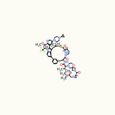 CO[C@@H](C)c1ncc(N2CCN(C3CC3)CC2)cc1-c1c2c3cc(ccc3n1CC(F)(F)F)-c1cccc(c1)C[C@H](NC(=O)[C@H](C(C)C)N1CCOC3(CN(C(=O)[C@H]4CN4CC(=O)N(C)C)C3)C1)C(=O)N1CCC[C@H](N1)C(=O)OCC(C)(C)C2